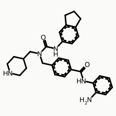 Nc1ccccc1NC(=O)c1ccc(CN(CC2CCNCC2)C(=O)Nc2ccc3c(c2)CCC3)cc1